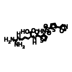 NC(N)NCCC[C@H](NC(=O)c1sccc1NS(=O)(=O)c1ccc(-c2cnco2)s1)C(=O)O